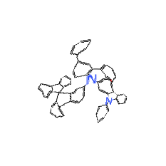 c1ccc(-c2ccc(N(c3ccc4c(c3)C3(c5ccccc5-c5ccccc53)c3ccccc3-4)c3ccc4c5ccccc5n(-c5ccccc5)c4c3)c(-c3ccccc3)c2)cc1